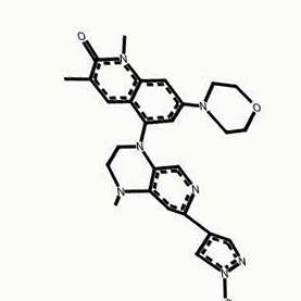 Cc1cc2c(N3CCN(C)c4cc(-c5cnn(C(C)C)c5)ncc43)cc(N3CCOCC3)cc2n(C)c1=O